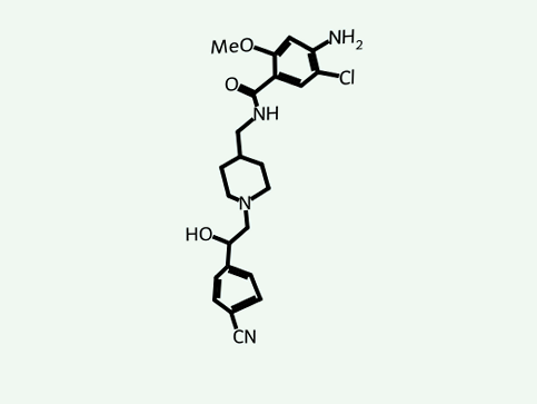 COc1cc(N)c(Cl)cc1C(=O)NCC1CCN(CC(O)c2ccc(C#N)cc2)CC1